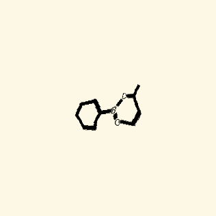 CC1CCOB(C2CCCCC2)O1